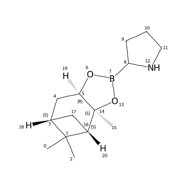 CC1(C)[C@@H]2C[C@H]3OB(C4CCCN4)O[C@@]3(C)[C@H]1C2